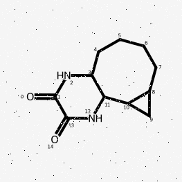 O=C1NC2CCCCC3CC3C2NC1=O